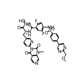 COCc1ncc(-c2ccc(S(=O)(=O)Nc3cc(F)c(C(=O)N[C@@H](Cc4ccc(-n5c(=O)c6ccncc6n(C)c5=O)nc4)C(=O)NO)cc3F)cc2)cn1